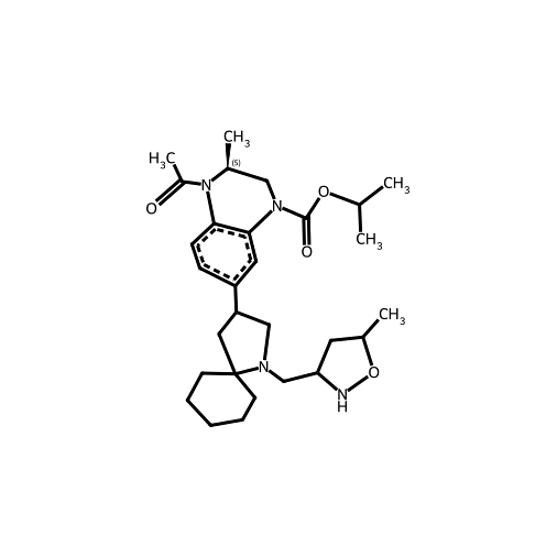 CC(=O)N1c2ccc(C3CN(CC4CC(C)ON4)C4(CCCCC4)C3)cc2N(C(=O)OC(C)C)C[C@@H]1C